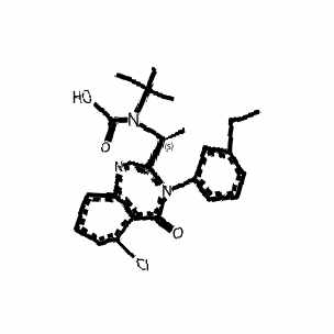 CCc1cccc(-n2c([C@H](C)N(C(=O)O)C(C)(C)C)nc3cccc(Cl)c3c2=O)c1